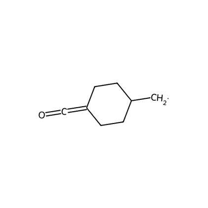 [CH2]C1CCC(=C=O)CC1